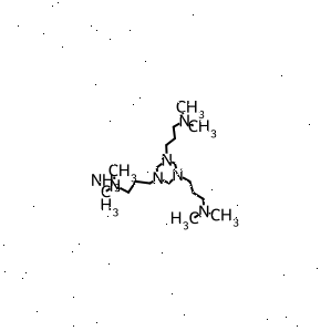 CN(C)CCCN1CN(CCCN(C)C)CN(CCCN(C)C)C1.N